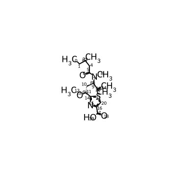 CC[C@H](C)CC(=O)N(C)[C@H](C[C@@H](OC)c1nc(C(=O)O)cs1)C(C)C